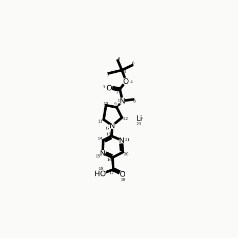 CN(C(=O)OC(C)(C)C)[C@@H]1CCN(c2cnc(C(=O)O)cn2)C1.[Li]